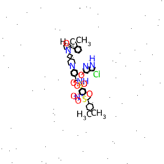 CC(C)c1ccccc1[C@@H]1COCCN1C1CC2(CCN(c3ccc(C(=O)NS(=O)(=O)c4cc5c(c([N+](=O)[O-])c4)SC(C4CCC(C)(C)CC4)CO5)c(Oc4cnc5[nH]cc(Cl)c5c4)c3)CC2)C1